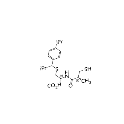 CC(C)c1ccc(C(SC[C@H](NC(=O)[C@H](C)CS)C(=O)O)C(C)C)cc1